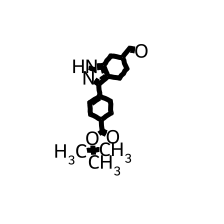 CC(C)(C)OC(=O)C1CC=C(c2n[nH]c3c2CCC(C=O)C3)CC1